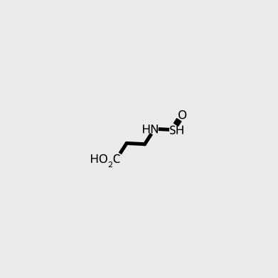 O=[SH]NCCC(=O)O